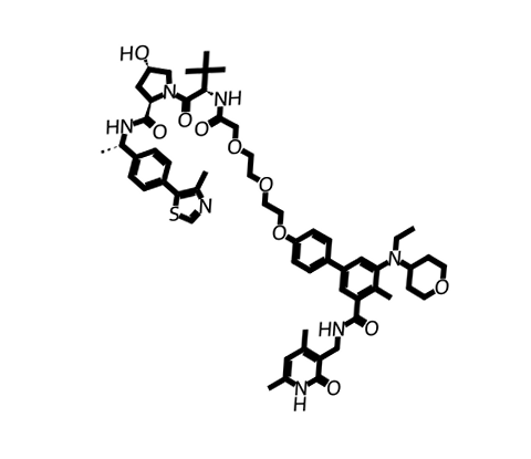 CCN(c1cc(-c2ccc(OCCOCCOCC(=O)N[C@H](C(=O)N3C[C@@H](O)C[C@@H]3C(=O)N[C@@H](C)c3ccc(-c4scnc4C)cc3)C(C)(C)C)cc2)cc(C(=O)NCc2c(C)cc(C)[nH]c2=O)c1C)C1CCOCC1